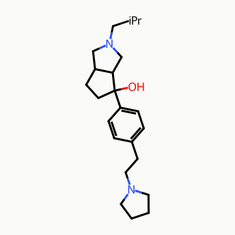 CC(C)CN1CC2CCC(O)(c3ccc(CCN4CCCC4)cc3)C2C1